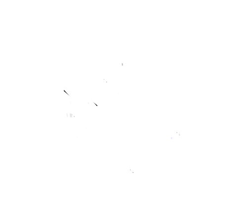 CC1=CC(=NO)CC=C1S(=O)(=O)N[C@@H](Cc1ccccc1)[C@H](O)CN(CC(C)C)S(=O)(=O)c1ccc(/C=N/O)cc1